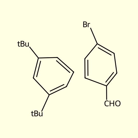 CC(C)(C)c1cccc(C(C)(C)C)c1.O=Cc1ccc(Br)cc1